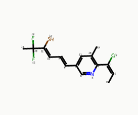 C/C=C(/Cl)c1ncc(/C=C/C=C(\S)C(C)(F)F)cc1C